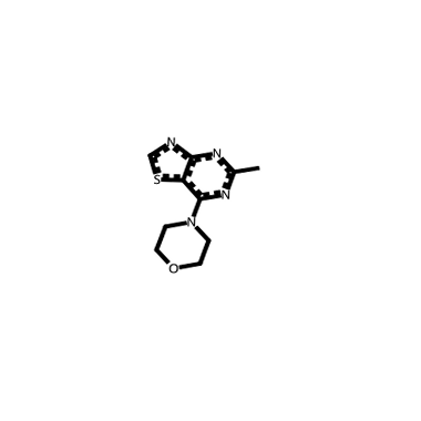 Cc1nc(N2CCOCC2)c2scnc2n1